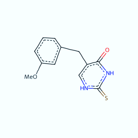 COc1cccc(Cc2c[nH]c(=S)[nH]c2=O)c1